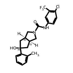 Cc1ccccc1[C@]1(O)C[C@H]2CN(C(=O)Nc3ccc(Cl)c(C(F)(F)F)c3)C[C@H]2C1